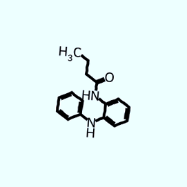 CCCC(=O)Nc1ccccc1Nc1ccccc1